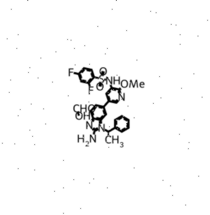 COc1ncc(-c2ccc3nc(N)n([C@H](C)c4ccccc4)c3c2)cc1NS(=O)(=O)c1ccc(F)cc1F.O=CO